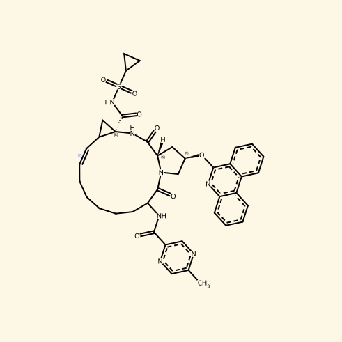 Cc1cnc(C(=O)NC2CCCCC/C=C\C3C[C@@]3(C(=O)NS(=O)(=O)C3CC3)NC(=O)[C@@H]3C[C@@H](Oc4nc5ccccc5c5ccccc45)CN3C2=O)cn1